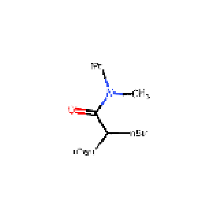 CCCCCC(CCCC)C(=O)N(C)C(C)C